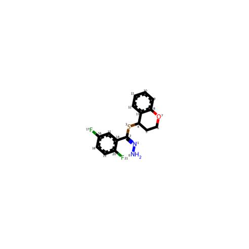 NN=C(SC1CCOc2ccccc21)c1cc(F)ccc1F